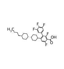 CCCC[C@H]1CC[C@H](C2CCC(c3cc(F)c(C(=O)O)c(F)c3-c3cc(F)c(F)c(F)c3)CC2)CC1